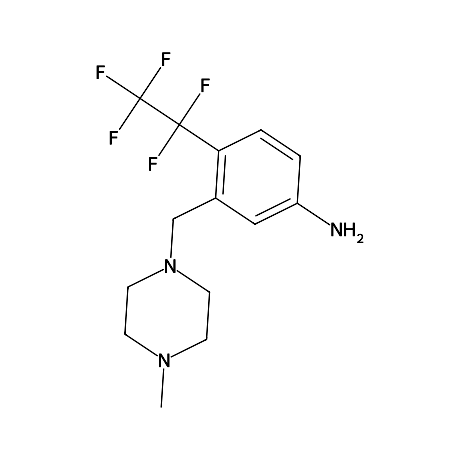 CN1CCN(Cc2cc(N)ccc2C(F)(F)C(F)(F)F)CC1